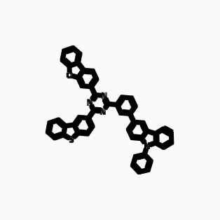 c1ccc2c(c#1)c1cc(-c3cccc(-c4nc(-c5ccc6c(c5)oc5ccccc56)nc(-c5ccc6sc7ccccc7c6c5)n4)c3)ccc1n2-c1ccccc1